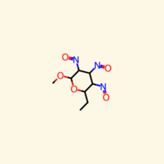 CCC1OC(OC)C(N=O)C(N=O)C1N=O